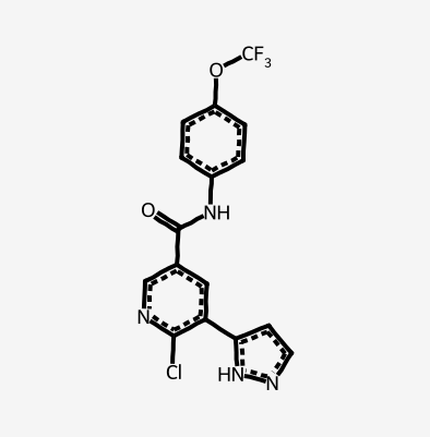 O=C(Nc1ccc(OC(F)(F)F)cc1)c1cnc(Cl)c(-c2ccn[nH]2)c1